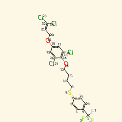 FC(F)(F)c1ccc(SCCCCOc2c(Cl)cc(OCC=C(Cl)Cl)cc2Cl)cc1